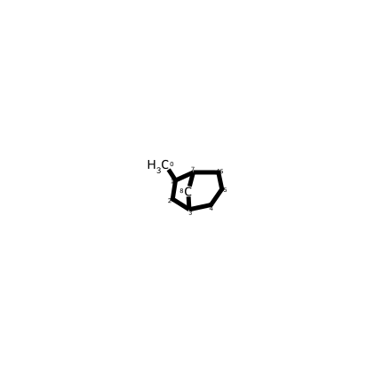 CC1C[C]2CC[CH]C1C2